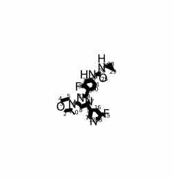 C[C@H]1COCCN1c1cc(-c2cncc(F)c2)nc(-c2ccc(NC(=O)NC3CC3)cc2F)n1